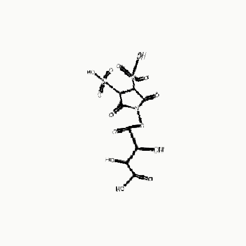 O=C(O)C(O)C(O)C(=O)ON1C(=O)C(S(=O)(=O)O)C(S(=O)(=O)O)C1=O